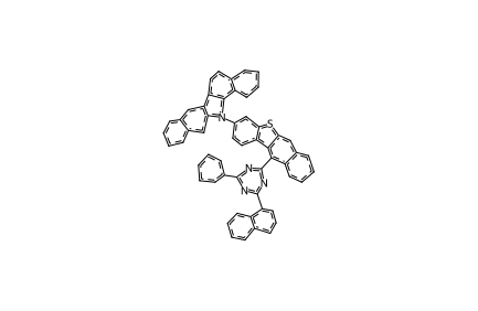 c1ccc(-c2nc(-c3cccc4ccccc34)nc(-c3c4ccccc4cc4sc5cc(-n6c7cc8ccccc8cc7c7ccc8ccccc8c76)ccc5c34)n2)cc1